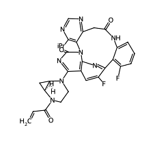 C=CC(=O)N1CCN(c2nc(=O)n3c4nc(c(F)cc24)-c2c(F)cccc2NC(=O)Cc2ncnc(C(C)C)c2-3)[C@@H]2C[C@@H]21